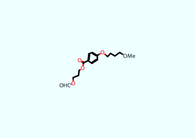 COCCCCOc1ccc(C(=O)OCCCOC=O)cc1